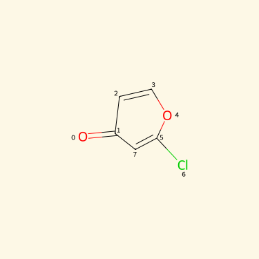 O=c1ccoc(Cl)c1